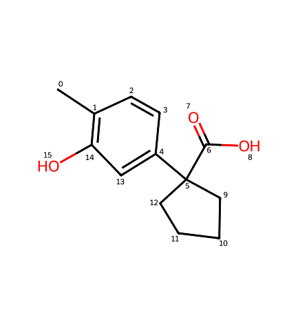 Cc1ccc(C2(C(=O)O)CCCC2)cc1O